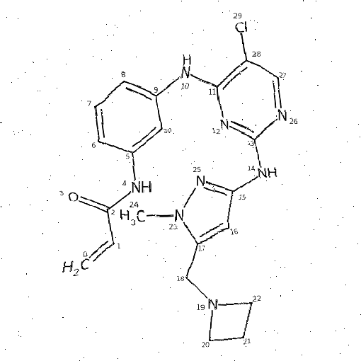 C=CC(=O)Nc1cccc(Nc2nc(Nc3cc(CN4CCC4)n(C)n3)ncc2Cl)c1